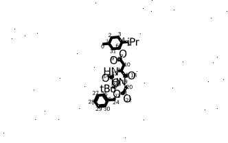 CC1CCC(C(C)C)C(OC(=O)CC(NC(=O)OC(C)(C)C)C(=O)NCC(=O)OCc2ccccc2)C1